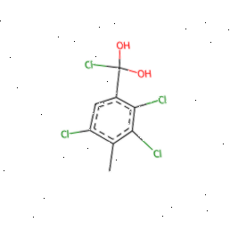 Cc1c(Cl)cc(C(O)(O)Cl)c(Cl)c1Cl